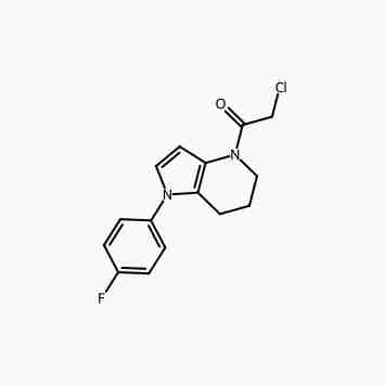 O=C(CCl)N1CCCc2c1ccn2-c1ccc(F)cc1